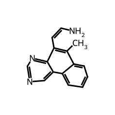 Cc1c(/C=C\N)c2ncncc2c2ccccc12